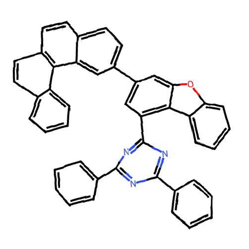 c1ccc(-c2nc(-c3ccccc3)nc(-c3cc(-c4ccc5ccc6ccc7ccccc7c6c5c4)cc4oc5ccccc5c34)n2)cc1